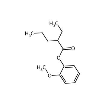 CCCC(CC)C(=O)Oc1ccccc1OC